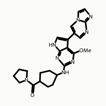 COc1nc(NC2CCC(C(=O)N3CCCC3)CC2)nc2[nH]cc(-c3cnc4nccn4c3)c12